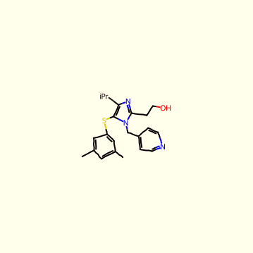 Cc1cc(C)cc(Sc2c(C(C)C)nc(CCO)n2Cc2ccncc2)c1